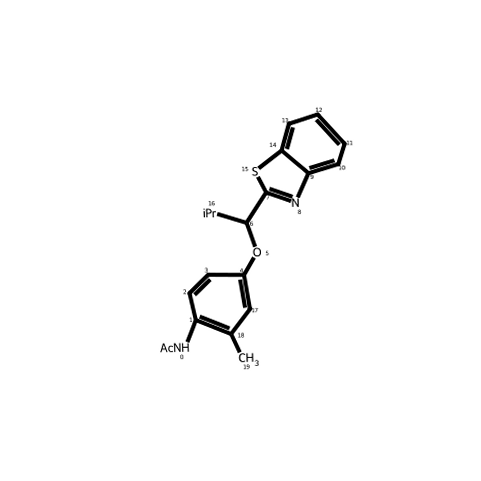 CC(=O)Nc1ccc(OC(c2nc3ccccc3s2)C(C)C)cc1C